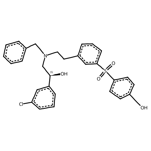 O=S(=O)(c1ccc(O)cc1)c1cccc(CCN(Cc2ccccc2)C[C@@H](O)c2cccc(Cl)c2)c1